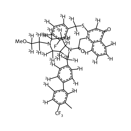 [2H]c1c([2H])c(F)c(F)c(C([2H])([2H])Sc2c([2H])c(=O)c3c([2H])c([2H])c([2H])c([2H])c3n2CC(=O)N(C([2H])([2H])c2c([2H])c([2H])c(-c3c([2H])c([2H])c(C(F)(F)F)c(C)c3[2H])c([2H])c2[2H])C2([2H])C([2H])([2H])C([2H])([2H])N(C([2H])([2H])C([2H])([2H])OC)C([2H])([2H])C2([2H])[2H])c1[2H]